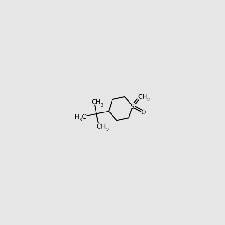 C=S1(=O)CCC(C(C)(C)C)CC1